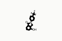 O=C1c2cccc(O)c2CN1c1ccc(C(F)(F)F)cc1